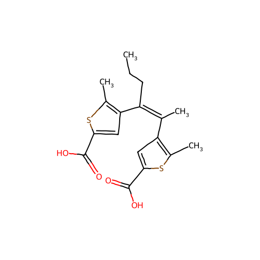 CCC/C(=C(\C)c1cc(C(=O)O)sc1C)c1cc(C(=O)O)sc1C